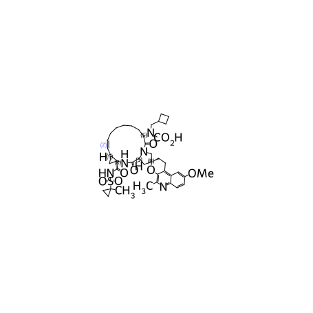 COc1ccc2nc(C)c3c(c2c1)CC[C@]1(C[C@H]2C(=O)N[C@]4(C(=O)NS(=O)(=O)C5(C)CC5)C[C@H]4/C=C\CCCCC[C@H](N(CC4CCC4)C(=O)O)C(=O)N2C1)O3